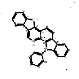 c1ccc(-n2c3ccccc3c3ccc4c(ncc5c6ccccc6oc54)c32)cc1